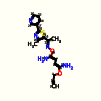 C#CCO/C(N)=C/C=C(\N)O/N=C(\C)c1sc(-c2cccnc2)nc1C